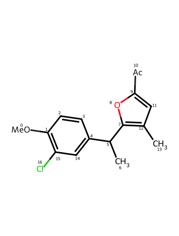 COc1ccc(C(C)c2oc(C(C)=O)cc2C)cc1Cl